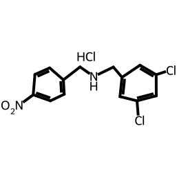 Cl.O=[N+]([O-])c1ccc(CNCc2cc(Cl)cc(Cl)c2)cc1